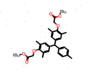 Cc1ccc(C(c2cc(C)c(OCC(=O)OC(C)(C)C)c(C)c2)c2cc(C)c(OCC(=O)OC(C)(C)C)c(C)c2)cc1